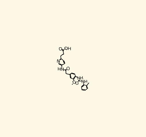 COc1cc(CC(=O)Nc2ccc(CCC(=O)O)nc2)ccc1NC(=O)Nc1ccccc1C